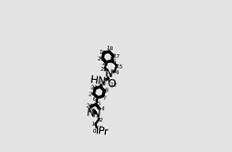 CC(C)CCn1cc(-c2ccc(NC(=O)N3CCc4ccccc4C3)cc2)cn1